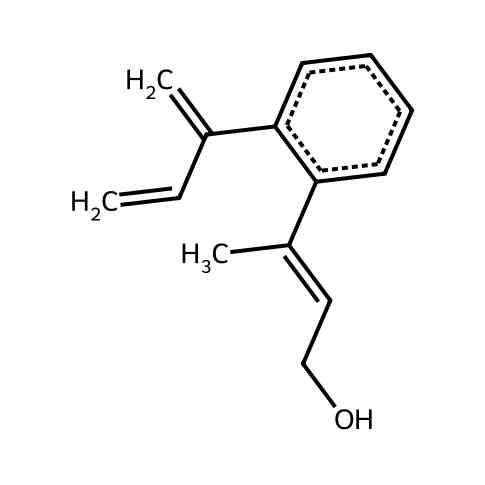 C=CC(=C)c1ccccc1/C(C)=C/CO